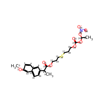 COc1ccc2cc(C(C)C(=O)OCCCSCCCOC(=O)OC(C)O[N+](=O)[O-])ccc2c1